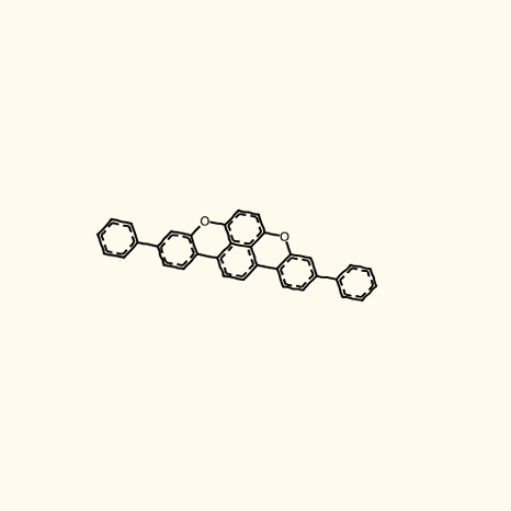 c1ccc(-c2ccc3c(c2)Oc2ccc4c5c(ccc-3c25)-c2ccc(-c3ccccc3)cc2O4)cc1